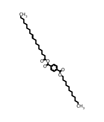 CCCCCCCCC=CCCCCCCCC(=O)OC(=O)c1ccc(C(=O)OCCCCCCCCCCCC)cc1